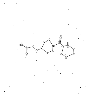 O=C(O)COC1CCN(C(=O)C2CCCCN2)CC1